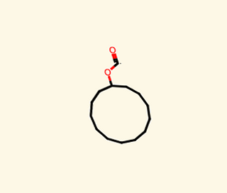 O=[C]OC1CCCCCCCCCCCC1